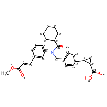 COC(=O)/C=C/c1cccc(N(Cc2ccc(C3CC3C(=O)O)cc2)C(=O)C2CCCCC2)c1